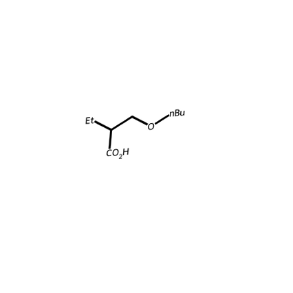 CCCCOCC(CC)C(=O)O